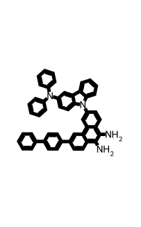 Nc1c(N)c2ccc(-n3c4ccccc4c4cc(N(c5ccccc5)c5ccccc5)ccc43)cc2c2cc(-c3ccc(-c4ccccc4)cc3)ccc12